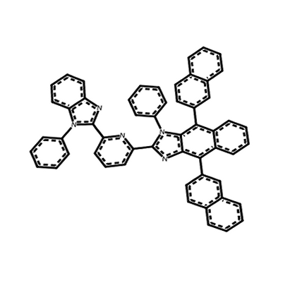 c1ccc(-n2c(-c3cccc(-c4nc5c(-c6ccc7ccccc7c6)c6ccccc6c(-c6ccc7ccccc7c6)c5n4-c4ccccc4)n3)nc3ccccc32)cc1